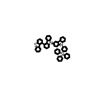 c1ccc([Si](c2ccccc2)(c2ccccc2)c2cccc(-n3c4ccccc4c4cc(-n5c6ccccc6c6c(-c7cccc8sc9ccccc9c78)cccc65)ccc43)c2)cc1